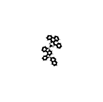 c1ccc(-c2nc(-n3c4ccccc4c4c5c6ccccc6n(-c6ccc7ccccc7c6)c5ccc43)nc3c4ccccc4c4ccccc4c23)cc1